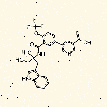 CC(CO)(Cc1c[nH]c2ccccc12)NC(=O)c1cc(-c2cncc(C(=O)O)c2)ccc1OC(F)(F)F